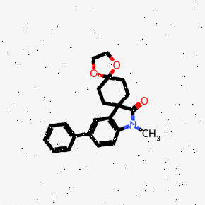 CN1C(=O)C2(CCC3(CC2)OCCO3)c2cc(-c3ccccc3)ccc21